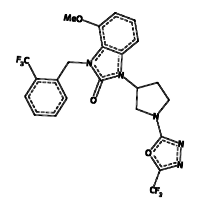 COc1cccc2c1n(Cc1ccccc1C(F)(F)F)c(=O)n2C1CCN(c2nnc(C(F)(F)F)o2)C1